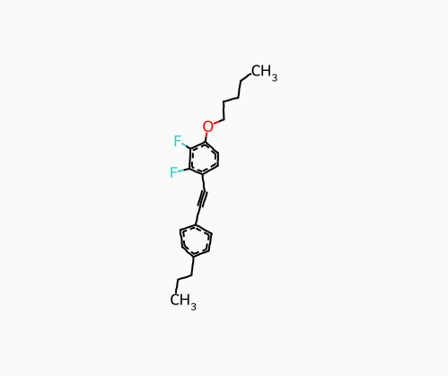 CCCCCOc1ccc(C#Cc2ccc(CCC)cc2)c(F)c1F